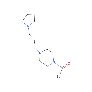 CCC(=O)N1CCN(CCCN2CCCC2)CC1